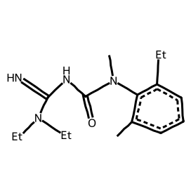 CCc1cccc(C)c1N(C)C(=O)NC(=N)N(CC)CC